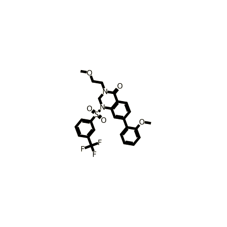 COCCN1CN(S(=O)(=O)c2cccc(C(F)(F)F)c2)c2cc(-c3ccccc3OC)ccc2C1=O